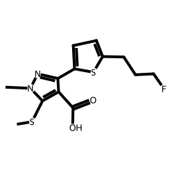 CSc1c(C(=O)O)c(-c2ccc(CCCF)s2)nn1C